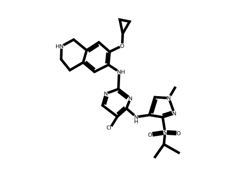 CC(C)S(=O)(=O)c1nn(C)cc1Nc1nc(Nc2cc3c(cc2OC2CC2)CNCC3)ncc1Cl